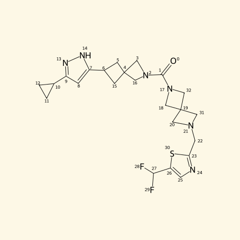 O=C(N1CC2(CC(c3cc(C4CC4)n[nH]3)C2)C1)N1CC2(CN(Cc3ncc(C(F)F)s3)C2)C1